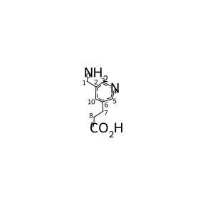 NCc1cncc(CCC(=O)O)c1